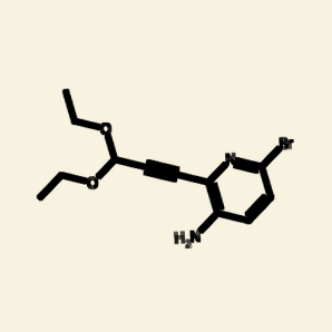 CCOC(C#Cc1nc(Br)ccc1N)OCC